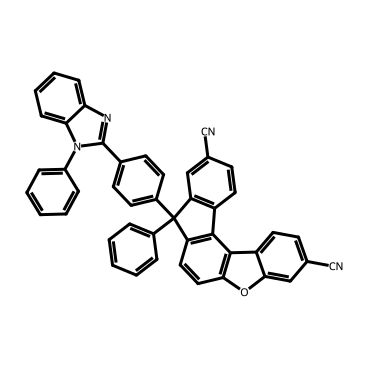 N#Cc1ccc2c(c1)C(c1ccccc1)(c1ccc(-c3nc4ccccc4n3-c3ccccc3)cc1)c1ccc3oc4cc(C#N)ccc4c3c1-2